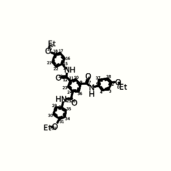 CCOc1ccc(NC(=O)c2cc(C(=O)Nc3ccc(OCC)cc3)cc(C(=O)Nc3ccc(OCC)cc3)c2)cc1